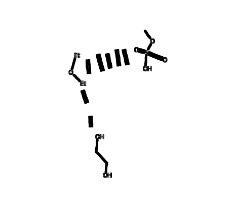 C=C.C=C.C=C.C=C.C=C.C=C.C=C.CCOCC.COS(=O)(=O)O.OCCO